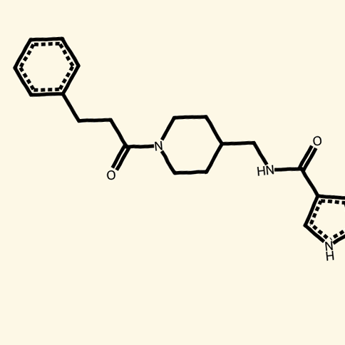 O=C(NCC1CCN(C(=O)CCc2ccccc2)CC1)c1cn[nH]c1